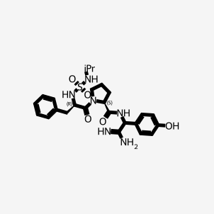 CC(C)NS(=O)(=O)N[C@H](Cc1ccccc1)C(=O)N1CCC[C@H]1C(=O)NC(C(=N)N)c1ccc(O)cc1